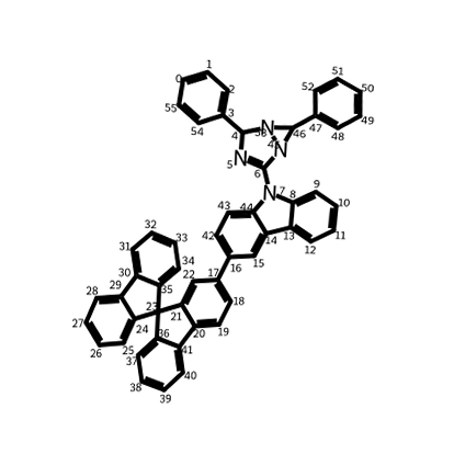 c1ccc(C2N=C(n3c4ccccc4c4cc(-c5ccc6c(c5)C5(c7ccccc7-c7ccccc75)c5ccccc5-6)ccc43)N3C(c4ccccc4)N23)cc1